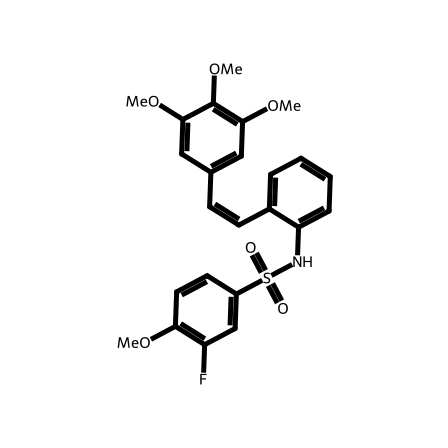 COc1ccc(S(=O)(=O)Nc2ccccc2/C=C\c2cc(OC)c(OC)c(OC)c2)cc1F